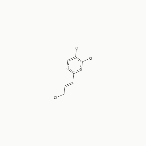 ClCC=Cc1ccc(Cl)c(Cl)c1